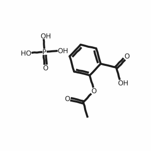 CC(=O)Oc1ccccc1C(=O)O.O=P(O)(O)O